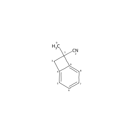 CC1(C#N)Cc2c[c]ccc21